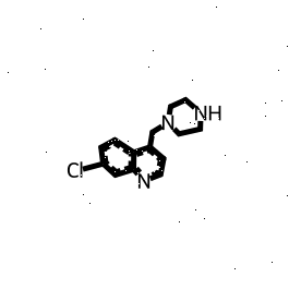 Clc1ccc2c(CN3CCNCC3)ccnc2c1